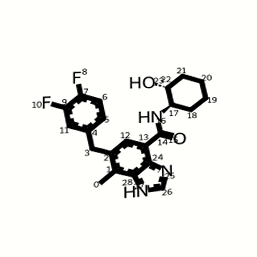 Cc1c(Cc2ccc(F)c(F)c2)cc(C(=O)N[C@@H]2CCCC[C@H]2O)c2nc[nH]c12